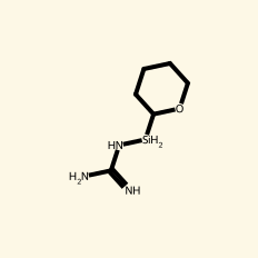 N=C(N)N[SiH2]C1CCCCO1